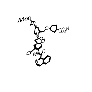 COC1CN([C@H]2CC(CO[C@H]3CC[C@H](C(=O)O)CC3)N(C(=O)Cc3cc(Cl)c(NC(=O)c4nccc5ccccc45)cc3Cl)C2)C1